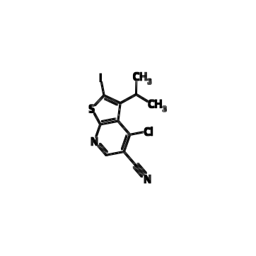 CC(C)c1c(I)sc2ncc(C#N)c(Cl)c12